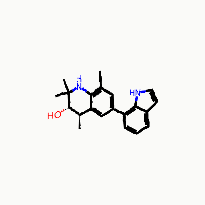 Cc1cc(-c2cccc3cc[nH]c23)cc2c1NC(C)(C)[C@@H](O)[C@@H]2C